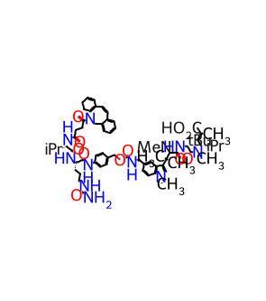 CNC(C(=O)N[C@H](C(=O)N(C)[C@H](/C=C(\C)C(=O)O)C(C)C)C(C)(C)C)C(C)(C)c1cn(C)c2ccc(CNC(=O)OCc3ccc(NC(=O)[C@H](CCCNC(N)=O)NC(=O)[C@@H](NC(=O)CCC(=O)N4Cc5ccccc5/C=C\C5=C4CCC=C5)C(C)C)cc3)cc12